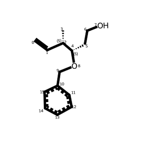 C=C[C@H](C)[C@H](CCO)OCc1ccccc1